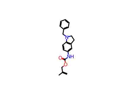 C=C(C)COC(=O)Nc1ccc2c(c1)CCN2Cc1ccccc1